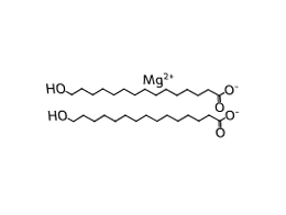 O=C([O-])CCCCCCCCCCCCCCO.O=C([O-])CCCCCCCCCCCCCCO.[Mg+2]